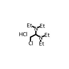 CCN(CC)C(CCl)N(CC)CC.Cl